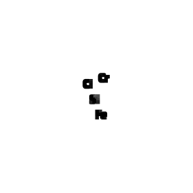 [C].[Cr].[Fe].[Si]